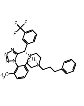 Cc1cccc(C)c1-n1nnnc1[C@H](c1cccc(C(F)(F)F)c1)N1CCN(CCCc2ccccc2)CC1